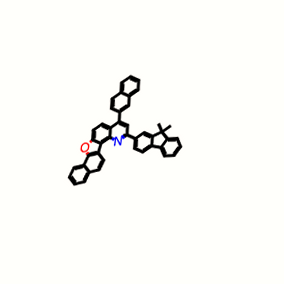 CC1(C)c2ccccc2-c2ccc(-c3cc(-c4ccc5ccccc5c4)c4ccc5oc6c7ccccc7ccc6c5c4n3)cc21